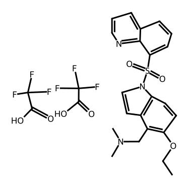 CCOc1ccc2c(ccn2S(=O)(=O)c2cccc3cccnc23)c1CN(C)C.O=C(O)C(F)(F)F.O=C(O)C(F)(F)F